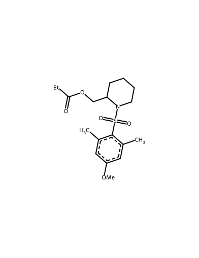 CCC(=O)OCC1CCCCN1S(=O)(=O)c1c(C)cc(OC)cc1C